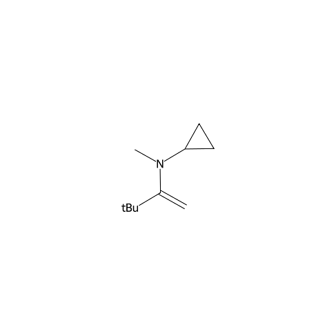 C=C(N(C)C1CC1)C(C)(C)C